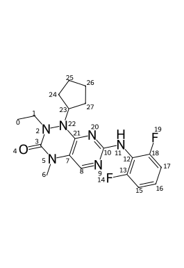 CCN1C(=O)N(C)c2cnc(Nc3c(F)cccc3F)nc2N1C1CCCC1